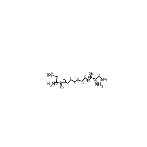 CC(C)CC(N)C(=O)OCCCCCCOC(=O)C(N)CC(C)C